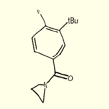 CC(C)(C)c1cc(C(=O)N2CC2)ccc1F